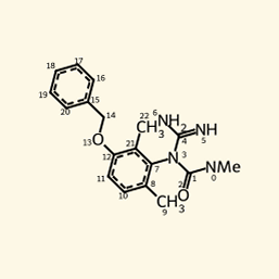 CNC(=O)N(C(=N)N)c1c(C)ccc(OCc2ccccc2)c1C